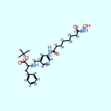 CC(C)(C)OC(=O)C(Cc1ccccc1)NCc1cncc(NC(=O)CCCCCCC(=O)NO)c1